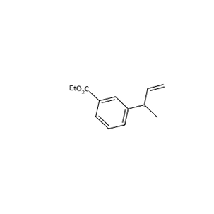 C=C[C](C)c1cccc(C(=O)OCC)c1